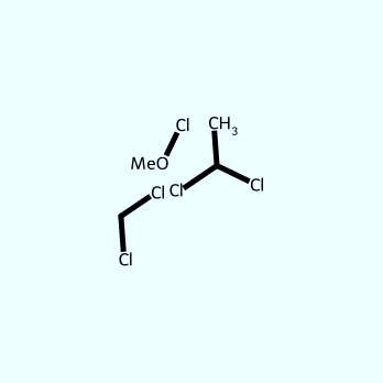 CC(Cl)Cl.COCl.ClCCl